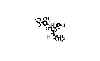 Cc1cc(NC(=O)C(CCC(=O)OC(C)(C)C)NC(=O)c2ccc(Cl)s2)ccc1N1CCOCC1=O